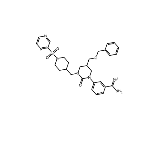 N=C(N)c1cccc(N2CC(COCc3ccccc3)CN(CC3CCN(S(=O)(=O)c4cnccn4)CC3)C2=O)c1